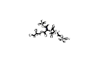 C/C(OS(C)(=O)=O)=C(/C(=O)OCC(Cl)CCl)N1C(=O)[C@H](CCO[Si](C)(C)C(C)(C)C)[C@H]1Cl